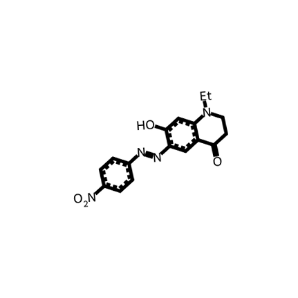 CCN1CCC(=O)c2cc(/N=N/c3ccc([N+](=O)[O-])cc3)c(O)cc21